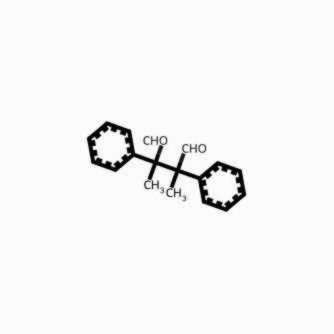 CC(C=O)(c1ccccc1)C(C)(C=O)c1ccccc1